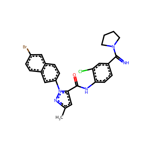 Cc1cc(C(=O)Nc2ccc(C(=N)N3CCCC3)cc2Cl)n(-c2ccc3cc(Br)ccc3c2)n1